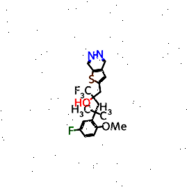 COc1ccc(F)cc1C(C)(C)CC(O)(Cc1cc2cnncc2s1)C(F)(F)F